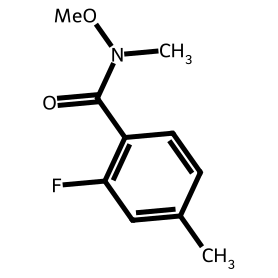 CON(C)C(=O)c1ccc(C)cc1F